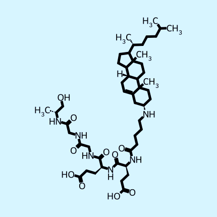 CC(C)CCC[C@@H](C)C1CCC2[C@H]3CC=C4C[C@@H](NCCCCC(=O)N[C@@H](CCC(=O)O)C(=O)N[C@@H](CCC(=O)O)C(=O)NCC(=O)NCC(=O)N[C@H](C)CO)CCC4(C)C3CCC21C